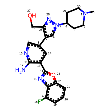 CN1CCC(n2cc(-c3cnc(N)c(-c4nc5c(F)cccc5o4)c3)c(CO)n2)CC1